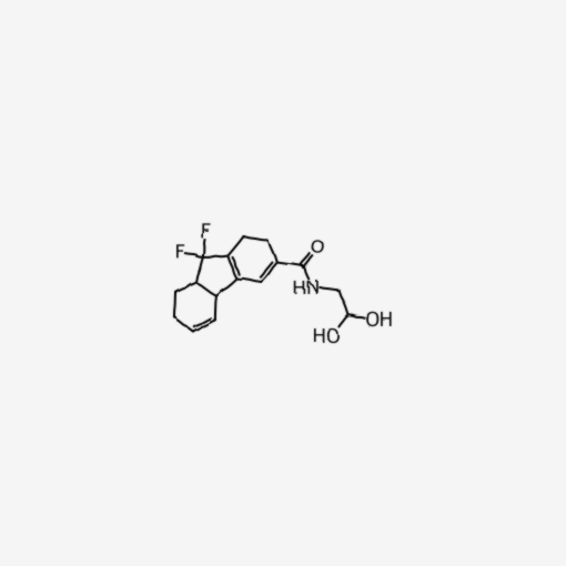 O=C(NCC(O)O)C1=CC2=C(CC1)C(F)(F)C1CCC=CC21